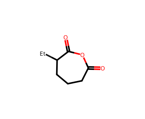 CCC1CCCC(=O)OC1=O